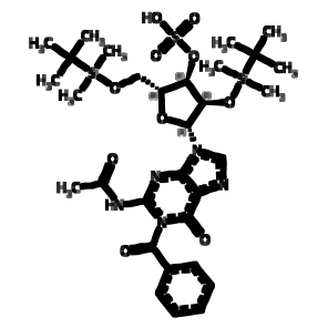 CC(=O)Nc1nc2c(ncn2[C@@H]2O[C@H](CO[Si](C)(C)C(C)(C)C)[C@@H](OS(=O)(=O)O)[C@H]2O[Si](C)(C)C(C)(C)C)c(=O)n1C(=O)c1ccccc1